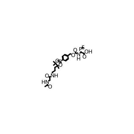 CC(=O)NCC(=O)NCCCC1(C)OB(c2ccc(COC(=O)NC(P=S)C(=O)O)cc2)OC1(C)C